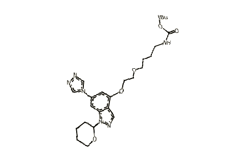 CC(C)(C)OC(=O)NCCCCOCCOc1cc(-n2cnnc2)cc2c1cnn2C1CCCCO1